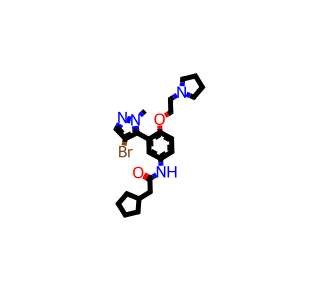 Cn1ncc(Br)c1-c1cc(NC(=O)CC2CCCC2)ccc1OCCN1CCCC1